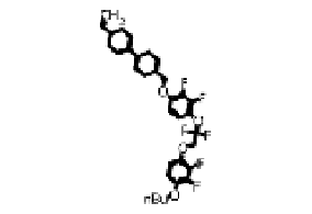 C=CC1CCC(C2CCC(COc3ccc(OC(F)(F)COc4ccc(OCCCC)c(F)c4F)c(F)c3F)CC2)CC1